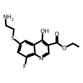 CCOC(=O)c1cnc2c(F)cc(SCCN)cc2c1O